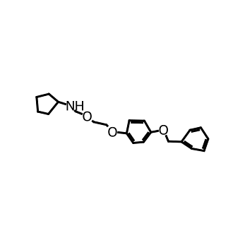 c1ccc(COc2ccc(OCCOCNC3CCCC3)cc2)cc1